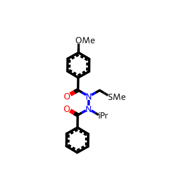 COc1ccc(C(=O)N(CSC)N(C(=O)c2ccccc2)C(C)C)cc1